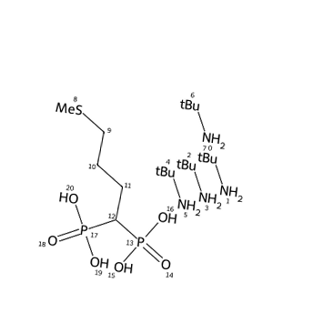 CC(C)(C)N.CC(C)(C)N.CC(C)(C)N.CC(C)(C)N.CSCCCC(P(=O)(O)O)P(=O)(O)O